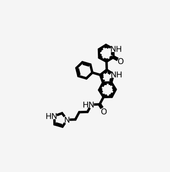 O=C(NCCCN1C=CNC1)c1ccc2[nH]c(-c3ccc[nH]c3=O)c(C3C=CC=CC3)c2c1